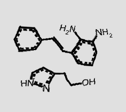 Nc1cccc(C=Cc2ccccc2)c1N.OCCc1cc[nH]n1